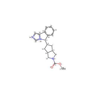 CC(C)(C)OC(=O)N1CC2CC(C3c4ccccc4-c4cncn43)CC2C1